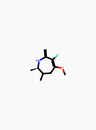 C=C1N[C@H](C)C(C)CC(OC)=C1F